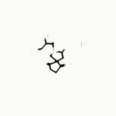 CCC(CS)C(=O)N1CC2(CC1C(=O)O)C(=O)CCC2=O